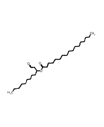 CCCCCCCCCCCCCCCCC(=O)OC(CC=O)CCCCCCCCC